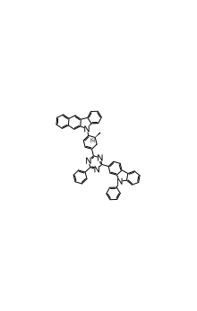 C[C@H]1CC(c2nc(-c3ccccc3)nc(-c3ccc4c5ccccc5n(-c5ccccc5)c4c3)n2)=CC=C1n1c2ccccc2c2cc3ccccc3cc21